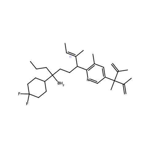 BC(CCC)(CCC(/C(C)=C/C)c1ncc(C(C)(C(=C)C)C(=C)C)cc1C)C1CCC(F)(F)CC1